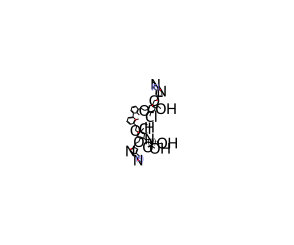 C/N=C/c1cncc(COc2cc(OCc3cccc(-c4cccc(COc5cc(OCc6cncc(/C=N/C)c6)c(CN[C@H](CCO)C(=O)O)cc5Cl)c4C)c3C)c(Cl)cc2CO)c1